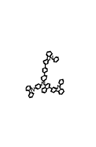 c1ccc(-n2c3ccccc3c3ccc(-c4ccc(-c5ccc(N(c6ccc(-n7c8ccccc8c8ccccc87)cc6)c6ccc(-c7ccc8c9ccccc9n(-c9ccccc9)c8c7)c7ccccc67)cc5)cc4)cc32)cc1